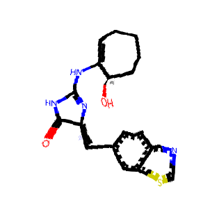 O=C1NC(NC2=CCCCC[C@H]2O)=N/C1=C\c1ccc2ncsc2c1